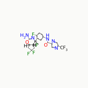 NC1=N[C@](CF)(c2cc(NC(=O)c3cnc(C(F)(F)F)cn3)ccc2F)[C@H]2CC(F)(F)C[C@H]2O1